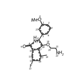 COc1cccc(-c2[nH]c(=O)c3cc(F)cc(C)c3c2OCCN)c1